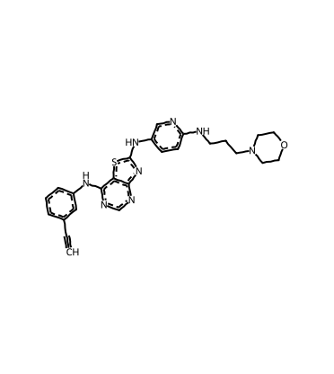 C#Cc1cccc(Nc2ncnc3nc(Nc4ccc(NCCCN5CCOCC5)nc4)sc23)c1